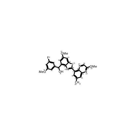 COc1cc(F)cc(C(O)c2cc(OC)cc3sc(-c4cc(C)cc5nc(OC)cnc45)nc23)c1